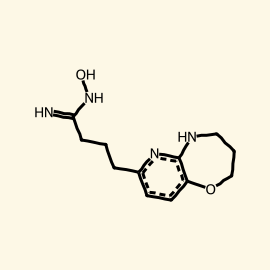 N=C(CCCc1ccc2c(n1)NCCCO2)NO